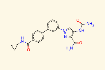 NC(=O)Nc1cn(-c2cccc(-c3ccc(C(=O)NC4CC4)cc3)c2)nc1C(N)=O